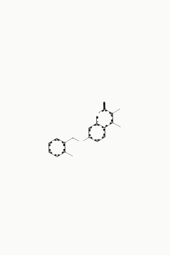 Cc1ccccc1COc1ccc2c(C)c(C)c(=O)oc2c1